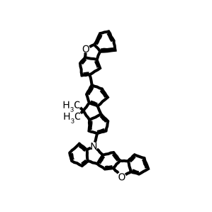 CC1(C)c2cc(-c3ccc4oc5ccccc5c4c3)ccc2-c2ccc(-n3c4ccccc4c4cc5oc6ccccc6c5cc43)cc21